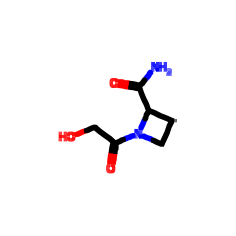 NC(=O)C1[CH]CN1C(=O)CO